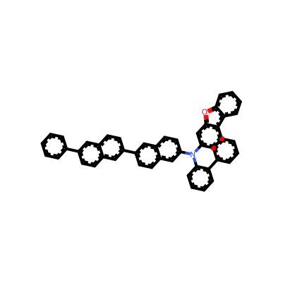 c1ccc(-c2ccc3cc(-c4ccc5cc(N(c6ccc7c(c6)oc6ccccc67)c6ccccc6-c6ccccc6)ccc5c4)ccc3c2)cc1